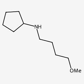 COCCCCNC1CCCC1